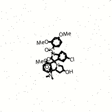 COc1ccc([S+]([O-])N2C(=O)C(c3ccccc3OC)(N3CC(O)CC3C(=O)N(C)C)c3cc(Cl)ccc32)c(OC)c1